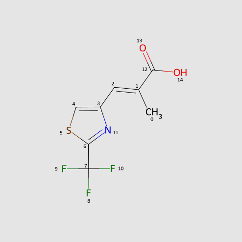 C/C(=C\c1csc(C(F)(F)F)n1)C(=O)O